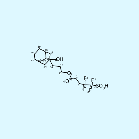 O=C(CCC(F)(F)C(F)(F)S(=O)(=O)O)OCCCC1(O)CC2CCCC(C2)C1